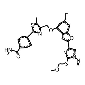 C=Nn1cc(-c2cc3c(OCc4nc(-c5ccc(C(=O)NC)cc5)sc4C)cc(F)cc3o2)nc1SCOC